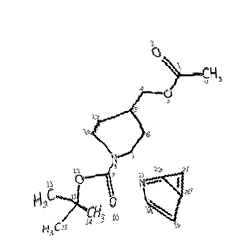 CC(=O)OCC1CCN(C(=O)OC(C)(C)C)CC1.c1cc2cc-2n1